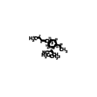 C=C.C=CC#N.C=CC=C.C=Cc1ccccc1